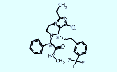 CCc1nc(Cl)c2n1CCN([C@@H](C(=O)NC)c1ccccc1)[C@H]2CCc1cccc(C(F)(F)F)c1